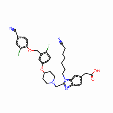 N#CCCCCCCn1c(CN2CCC(Oc3ccc(F)c(COc4ccc(C#N)cc4F)c3)CC2)nc2ccc(CC(=O)O)cc21